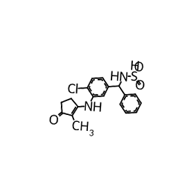 CC1=C(Nc2cc(C(N[SH](=O)=O)c3ccccc3)ccc2Cl)CCC1=O